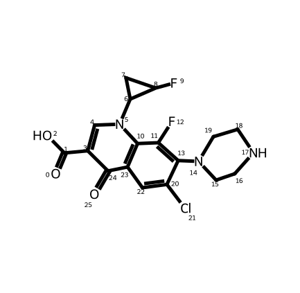 O=C(O)c1cn(C2CC2F)c2c(F)c(N3CCNCC3)c(Cl)cc2c1=O